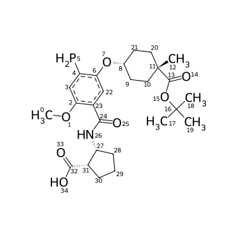 COc1cc(P)c(O[C@H]2CC[C@@](C)(C(=O)OC(C)(C)C)CC2)cc1C(=O)N[C@@H]1CCC[C@@H]1C(=O)O